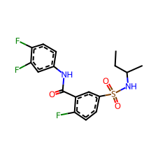 CCC(C)NS(=O)(=O)c1ccc(F)c(C(=O)Nc2ccc(F)c(F)c2)c1